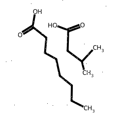 CC(C)CC(=O)O.CCCCCCCC(=O)O